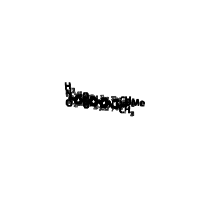 COCC(C)(C)N1CCN(c2ccc(-c3ccc(S(=O)(=O)N4CC=C(C(N)=O)CC4)cc3)cc2)CC1